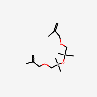 C=C(C)COC[Si](C)(C)O[Si](C)(C)COCC(=C)C